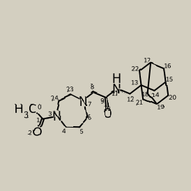 CC(=O)N1CCCN(CC(=O)NCC23CC4CC(CC(C4)C2)C3)CC1